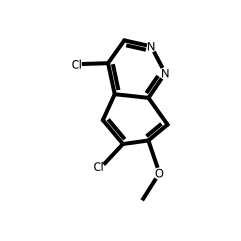 COc1cc2nncc(Cl)c2cc1Cl